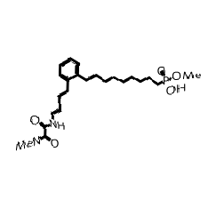 CNC(=O)C(=O)NCCCCc1ccccc1CCCCCCCCCP(=O)(O)OC